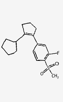 CS(=O)(=O)c1ccc(C2=C(C3CCCC3)CCC2)cc1F